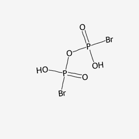 O=P(O)(Br)OP(=O)(O)Br